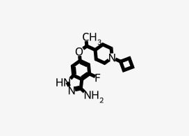 CC(Oc1cc(F)c2c(N)n[nH]c2c1)C1CCN(C2CCC2)CC1